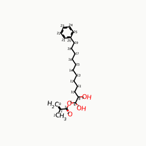 C=C(C)C(=O)OC(O)C(O)CCCCCCCCCCc1ccccc1